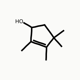 CC1=C(C)C(C)(C)CC1O